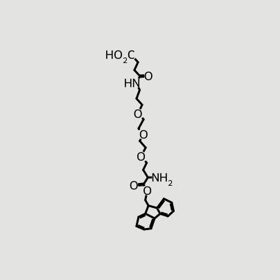 NC(CCOCCOCCOCCCNC(=O)CCC(=O)O)C(=O)OCC1c2ccccc2-c2ccccc21